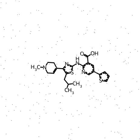 CC(C)Cc1sc(Nc2ncc(-c3cccs3)cc2C(=O)O)nc1C1=CCN(C)CC1